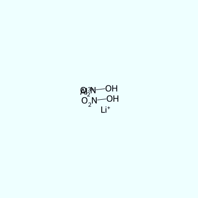 O=[N+]([O-])O.O=[N+]([O-])O.[Al+3].[Li+]